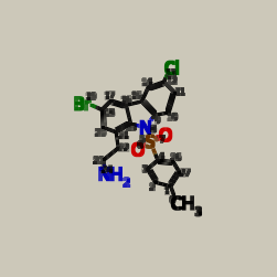 Cc1ccc(S(=O)(=O)n2c3ccc(Cl)cc3c3cc(Br)cc(CCN)c32)cc1